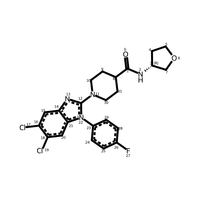 O=C(N[C@@H]1CCOC1)C1CCN(c2nc3cc(Cl)c(Cl)cc3n2-c2ccc(F)cc2)CC1